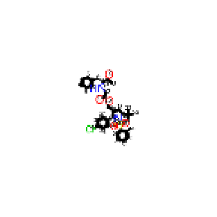 CC(=O)[C@H](Cc1ccccc1)NCC(=O)OCC1=CC(C(C)(C)C)N(S(=O)(=O)c2ccccc2C)[C@H]1c1ccc(Cl)cc1